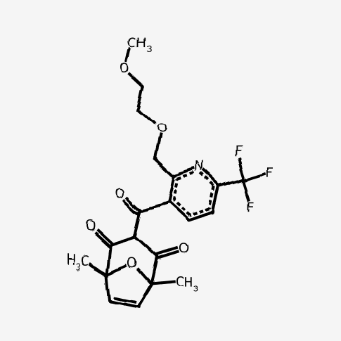 COCCOCc1nc(C(F)(F)F)ccc1C(=O)C1C(=O)C2(C)C=CC(C)(O2)C1=O